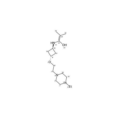 CCN1CCN(CCO[C@H]2C[C@H](NC(O)=C(C)C)C2)CC1